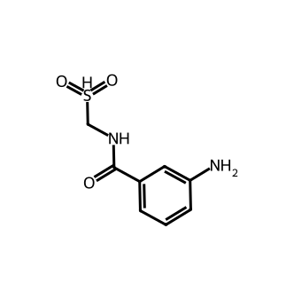 Nc1cccc(C(=O)NC[SH](=O)=O)c1